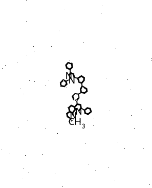 Cc1ccc2ccc3c(C4=CC(c5cccc(-c6cccc(-c7cc(-c8ccccc8)nc(-c8ccccc8)n7)c6)c5)CC=C4)cc(-c4ccccc4)nc3c2n1